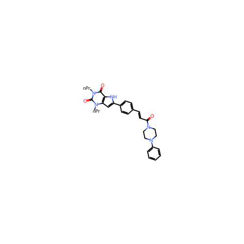 CCCn1c(=O)c2[nH]c(-c3ccc(C=CC(=O)N4CCN(c5ccccc5)CC4)cc3)cc2n(CCC)c1=O